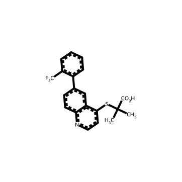 CC(C)(Sc1ccnc2ccc(-c3ccccc3C(F)(F)F)cc12)C(=O)O